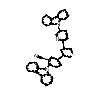 N#Cc1cc(-c2cncc(-c3ccc(-n4c5ccccc5c5ccccc54)cn3)c2)ccc1-n1c2ccccc2c2ccccc21